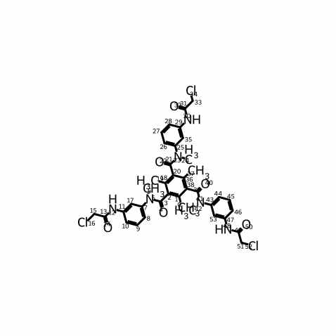 Cc1c(C(=O)N(C)c2cccc(NC(=O)CCl)c2)c(C)c(C(=O)N(C)c2cccc(NC(=O)CCl)c2)c(C)c1C(=O)N(C)c1cccc(NC(=O)CCl)c1